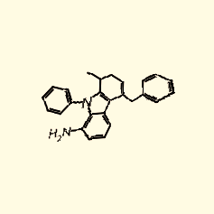 CC1CC=C(Cc2ccccc2)c2c1n(-c1ccccc1)c1c(N)cccc21